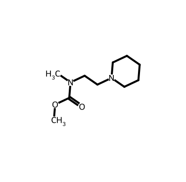 COC(=O)N(C)CCN1CCCCC1